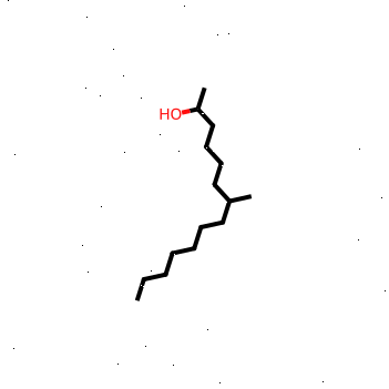 CCCCCCCC(C)CCCCC(C)O